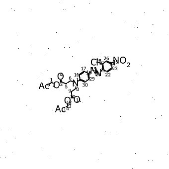 CC(=O)COC(=O)CCN(CCC(=O)OCC(C)=O)c1ccc(/N=N/c2ccc([N+](=O)[O-])cc2Cl)cc1